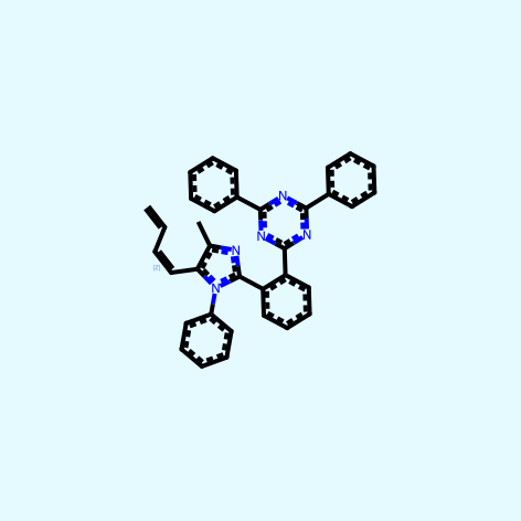 C=C/C=C\c1c(C)nc(-c2ccccc2-c2nc(-c3ccccc3)nc(-c3ccccc3)n2)n1-c1ccccc1